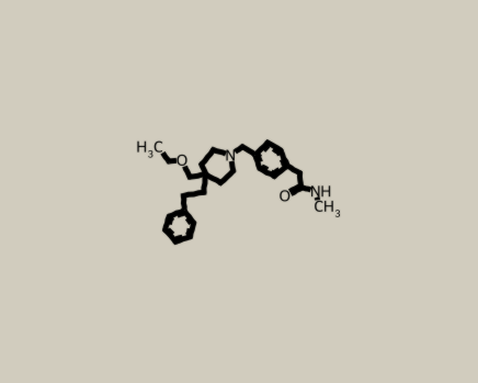 CCOCC1(CCc2ccccc2)CCN(Cc2ccc(CC(=O)NC)cc2)CC1